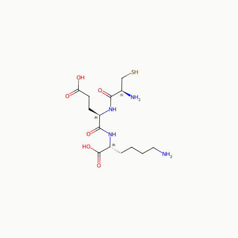 NCCCC[C@@H](NC(=O)[C@@H](CCC(=O)O)NC(=O)[C@H](N)CS)C(=O)O